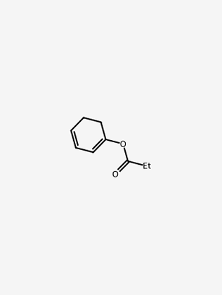 CCC(=O)OC1=CC=CCC1